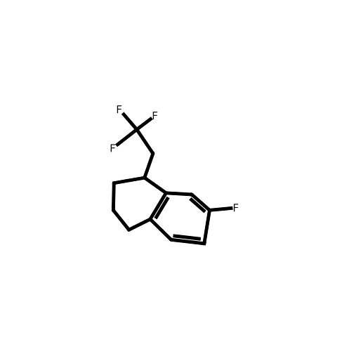 Fc1ccc2c(c1)C(CC(F)(F)F)CCC2